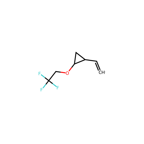 [CH]=CC1CC1OCC(F)(F)F